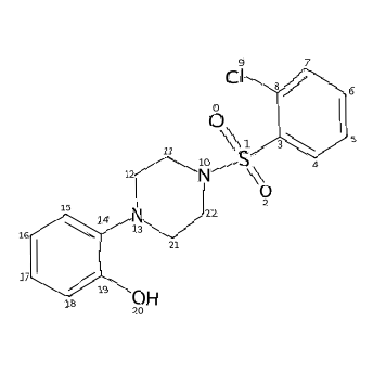 O=S(=O)(c1ccccc1Cl)N1CCN(c2ccccc2O)CC1